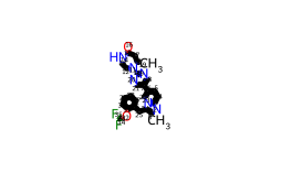 Cc1nc2ccc(-c3cnc(N4CCNC(=O)CC4C)nc3)cn2c1Cc1ccccc1OC(F)F